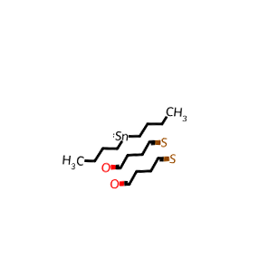 CCC[CH2][Sn][CH2]CCC.O=CCCC=S.O=CCCC=S